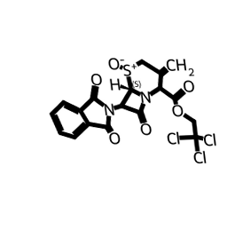 C=C1C[S+]([O-])[C@H]2C(N3C(=O)c4ccccc4C3=O)C(=O)N2C1C(=O)OCC(Cl)(Cl)Cl